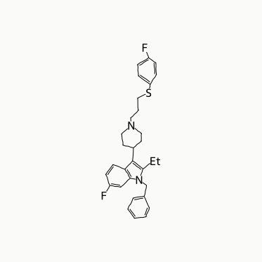 CCc1c(C2CCN(CCCSc3ccc(F)cc3)CC2)c2ccc(F)cc2n1Cc1ccccc1